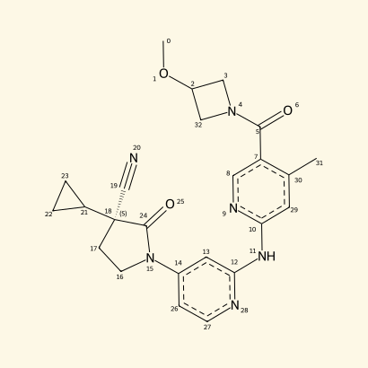 COC1CN(C(=O)c2cnc(Nc3cc(N4CC[C@@](C#N)(C5CC5)C4=O)ccn3)cc2C)C1